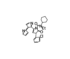 CCN(C(=O)N1C(=O)C(c2ccccc2Cl)C=C1C1=NC=CC1=C1C=CC=N1)C1CCCCC1